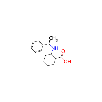 C[C@@H](NC1CCCCC1C(=O)O)c1ccccc1